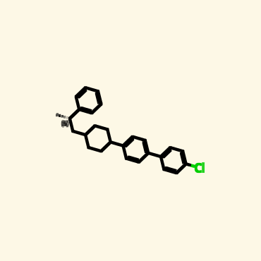 C[C@@H](CC1CCC(c2ccc(-c3ccc(Cl)cc3)cc2)CC1)c1ccccc1